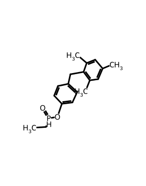 CC[PH](=O)Oc1ccc(Cc2c(C)cc(C)cc2C)cc1